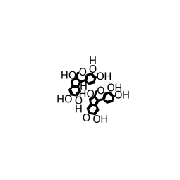 O=C1C=C2CC3(O)COc4c(ccc(O)c4O)C3=C2C=C1O.Oc1cc2c(cc1O)[C@H]1c3ccc(O)c(O)c3OC[C@@]1(O)C2